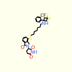 O=C1CCC(N2Cc3c(SCCCCCCCNC4(c5ccccc5C(F)(F)F)CC(F)(F)C4)cccc3C2=O)C(=O)N1